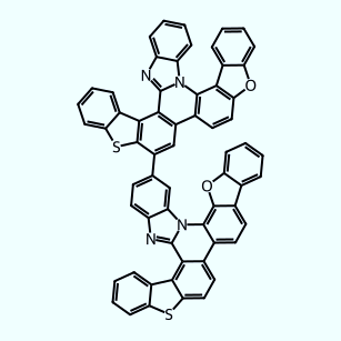 c1ccc2c(c1)nc1c3c(cc(-c4ccc5nc6c7c(ccc8sc9ccccc9c87)c7ccc8c9ccccc9oc8c7n6c5c4)c4sc5ccccc5c43)c3ccc4oc5ccccc5c4c3n21